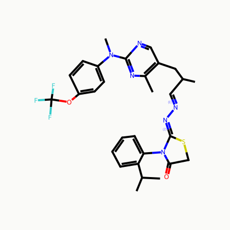 Cc1nc(N(C)c2ccc(OC(F)(F)F)cc2)ncc1CC(C)/C=N/N=C1\SCC(=O)N1c1ccccc1C(C)C